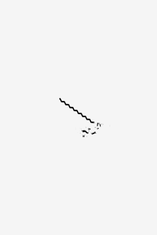 CCCCCCCCCCCCCCCCCCOP(=O)(CO[C@H](C)Cn1cnc2c(N)ncnc21)OC